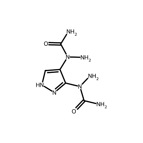 NC(=O)N(N)c1c[nH]nc1N(N)C(N)=O